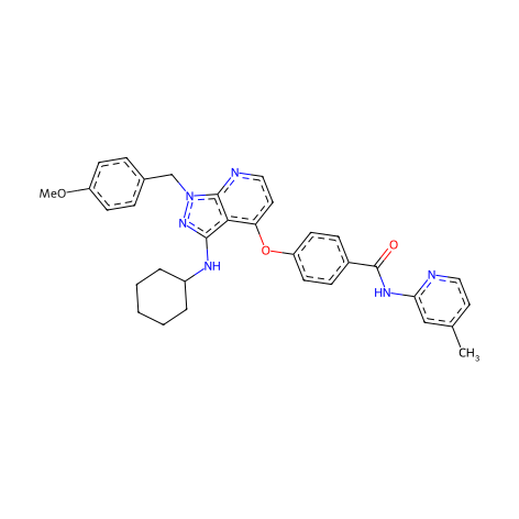 COc1ccc(Cn2nc(NC3CCCCC3)c3c(Oc4ccc(C(=O)Nc5cc(C)ccn5)cc4)ccnc32)cc1